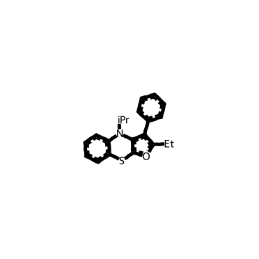 CCc1oc2c(c1-c1ccccc1)N(C(C)C)c1ccccc1S2